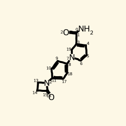 NC(=O)C1=CC=CN(c2ccc(N3CCC3=O)cc2)C1